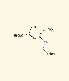 CCCCCCCCCCNc1cc(C(=O)OCC)ccc1[N+](=O)[O-]